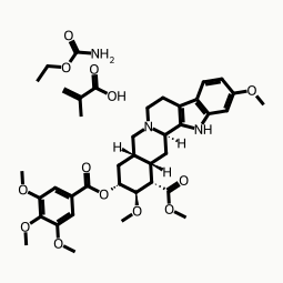 C=C(C)C(=O)O.CCOC(N)=O.COC(=O)[C@H]1[C@H]2C[C@@H]3c4[nH]c5cc(OC)ccc5c4CCN3C[C@H]2C[C@@H](OC(=O)c2cc(OC)c(OC)c(OC)c2)[C@@H]1OC